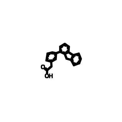 O=C(O)Cc1cccc(-c2cccc3c2Cc2ccccc2-3)c1